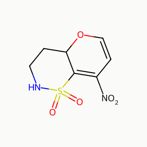 O=[N+]([O-])C1=C2C(CCNS2(=O)=O)OC=C1